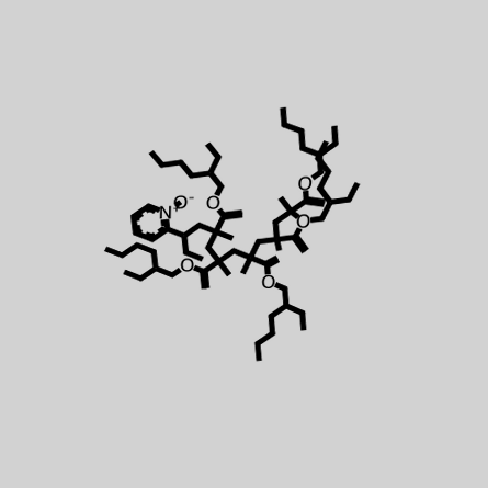 C=C(OCC(CC)CCCC)C(C)(C)CC(C)(CC(C)(CC(C)(CC(C)(CC(CC)c1cccc[n+]1[O-])C(=C)OCC(CC)CCCC)C(=C)OCC(CC)CCCC)C(=C)OCC(CC)CCCC)C(=C)OCC(CC)CCCC